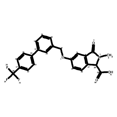 CN1C(=O)c2cc(OCc3cccc(-c4ccc(C(F)(F)F)cc4)c3)ccc2C1C(=O)O